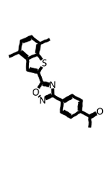 CC(=O)c1ccc(-c2noc(-c3cc4c(C)ccc(C)c4s3)n2)cc1